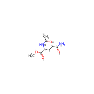 COC(=O)C(CCC(N)=O)NC(C)=O